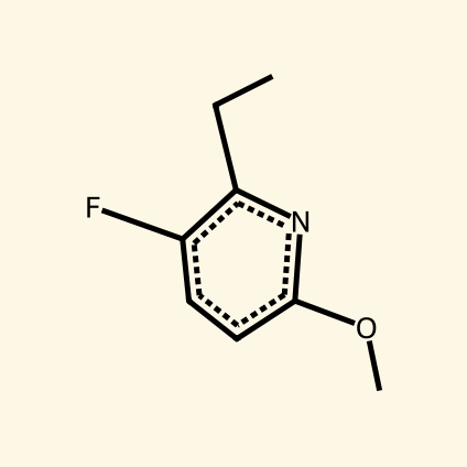 CCc1nc(OC)ccc1F